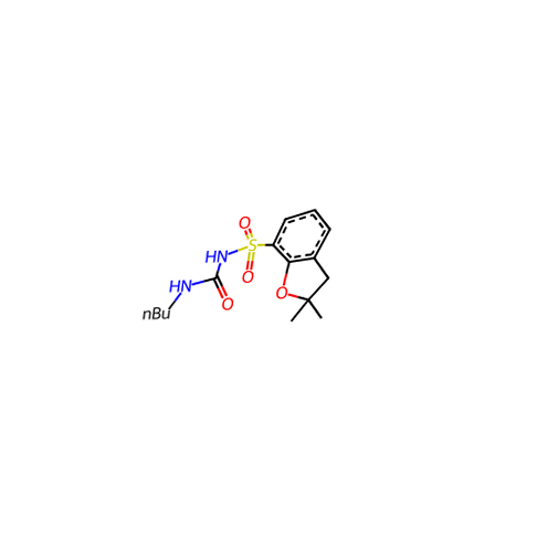 CCCCNC(=O)NS(=O)(=O)c1cccc2c1OC(C)(C)C2